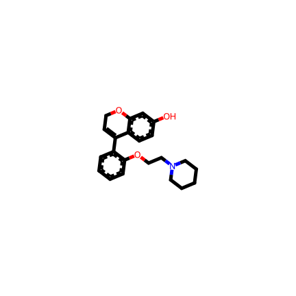 Oc1ccc2c(c1)OCC=C2c1ccccc1OCCN1CCCCC1